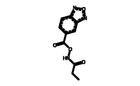 CCC(=O)NOC(=O)c1ccc2nonc2c1